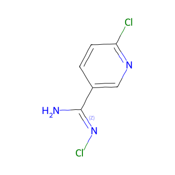 N/C(=N\Cl)c1ccc(Cl)nc1